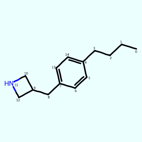 CCCCc1ccc(CC2CNC2)cc1